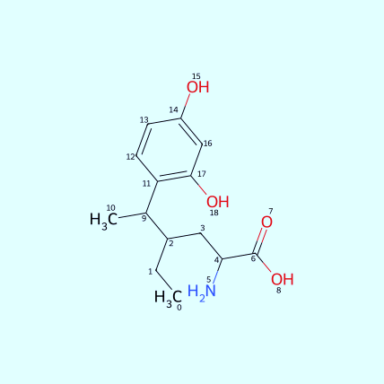 CCC(CC(N)C(=O)O)C(C)c1ccc(O)cc1O